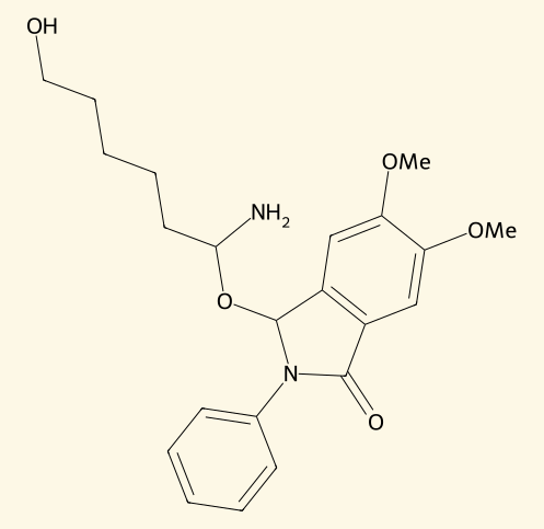 COc1cc2c(cc1OC)C(OC(N)CCCCCO)N(c1ccccc1)C2=O